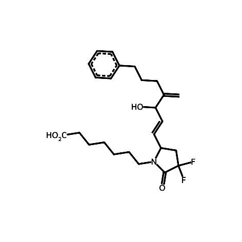 C=C(CCCc1ccccc1)C(O)C=CC1CC(F)(F)C(=O)N1CCCCCCC(=O)O